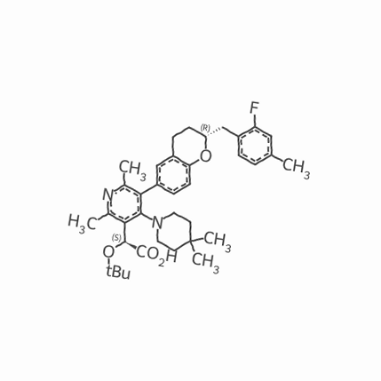 Cc1ccc(C[C@H]2CCc3cc(-c4c(C)nc(C)c([C@H](OC(C)(C)C)C(=O)O)c4N4CCC(C)(C)CC4)ccc3O2)c(F)c1